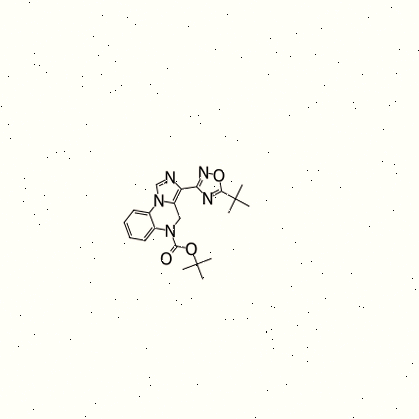 CC(C)(C)OC(=O)N1Cc2c(-c3noc(C(C)(C)C)n3)ncn2-c2ccccc21